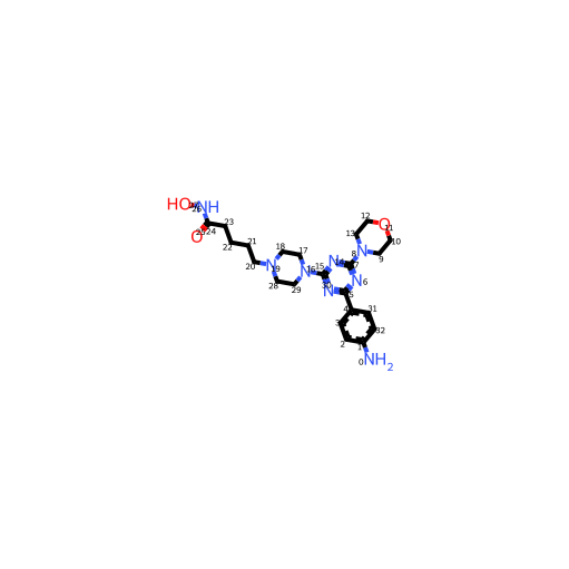 Nc1ccc(-c2nc(N3CCOCC3)nc(N3CCN(CCCCC(=O)NO)CC3)n2)cc1